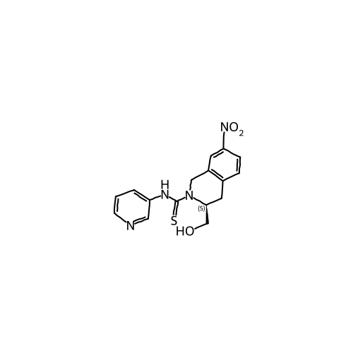 O=[N+]([O-])c1ccc2c(c1)CN(C(=S)Nc1cccnc1)[C@H](CO)C2